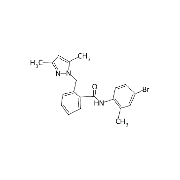 Cc1cc(C)n(Cc2ccccc2C(=O)Nc2ccc(Br)cc2C)n1